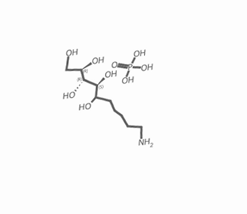 NCCCCCC(O)[C@H](O)[C@H](O)[C@H](O)CO.O=P(O)(O)O